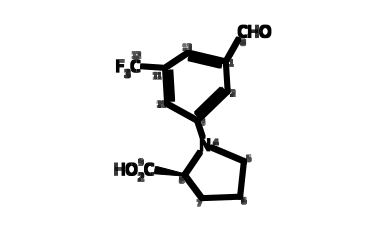 O=Cc1cc(N2CCC[C@H]2C(=O)O)cc(C(F)(F)F)c1